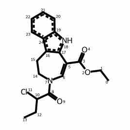 CCOC(=O)C1=CN(C(=O)C(Cl)CC)CCc2c1[nH]c1ccccc21